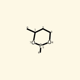 CC1CCOP(C)O1